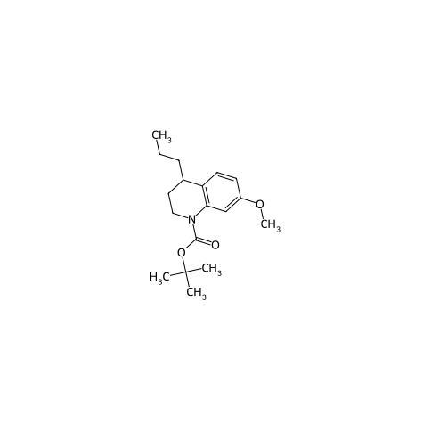 CCCC1CCN(C(=O)OC(C)(C)C)c2cc(OC)ccc21